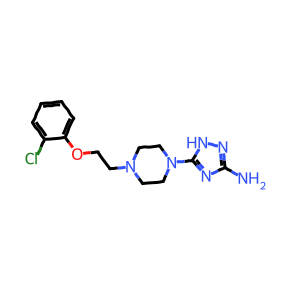 Nc1n[nH]c(N2CCN(CCOc3ccccc3Cl)CC2)n1